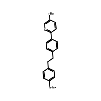 CCCCCCc1ccc(CCc2ccc(-c3ccc(CCCC)cn3)cc2)cc1